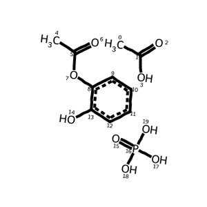 CC(=O)O.CC(=O)Oc1ccccc1O.O=P(O)(O)O